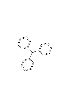 c1ccc([Se](c2ccccc2)c2ccccc2)cc1